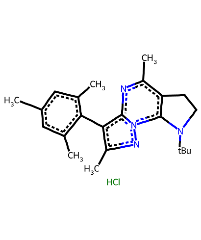 Cc1cc(C)c(-c2c(C)nn3c4c(c(C)nc23)CCN4C(C)(C)C)c(C)c1.Cl